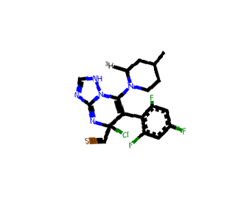 [3H]C1CC(C)CCN1C1=C(c2c(F)cc(F)cc2F)C(Cl)(C=S)N=C2N=CNN21